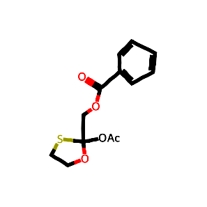 CC(=O)OC1(COC(=O)c2ccccc2)OCCS1